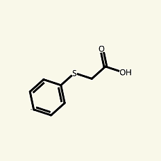 O=C(O)CSc1cc[c]cc1